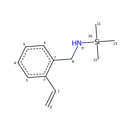 C=Cc1ccccc1CN[Si](C)(C)C